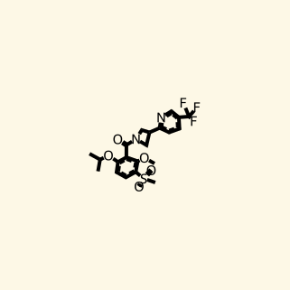 COc1c(S(C)(=O)=O)ccc(OC(C)C)c1C(=O)N1CC(c2ccc(C(F)(F)F)cn2)C1